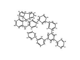 c1ccc(-c2cccc(-c3nc(-c4ccccc4)nc(-c4cccc(-c5cccc(-c6ccc7c(c6)C6(c8ccccc8O7)c7ccccc7-c7ccccc76)c5)c4)n3)c2)cc1